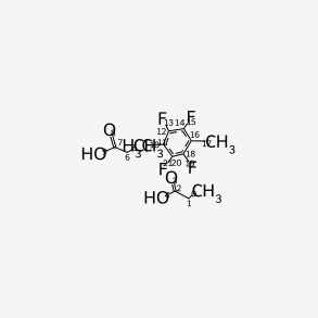 CCC(=O)O.CCC(=O)O.Cc1c(F)c(F)c(C)c(F)c1F